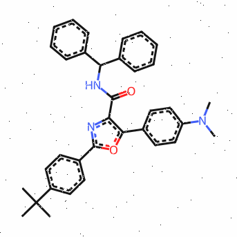 CN(C)c1ccc(-c2oc(-c3ccc(C(C)(C)C)cc3)nc2C(=O)NC(c2ccccc2)c2ccccc2)cc1